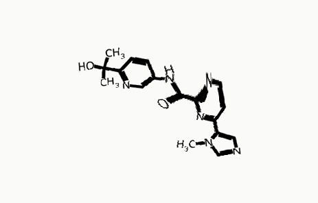 Cn1cncc1-c1ccnc(C(=O)Nc2ccc(C(C)(C)O)nc2)n1